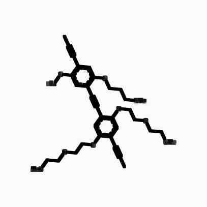 CC#Cc1cc(OCCCNC)c(C#Cc2cc(OCCOCCOC)c(C#CC)cc2OCCOCCOC)cc1OCCCC